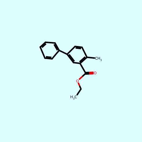 CCOC(=O)c1cc(-c2ccccc2)ccc1C